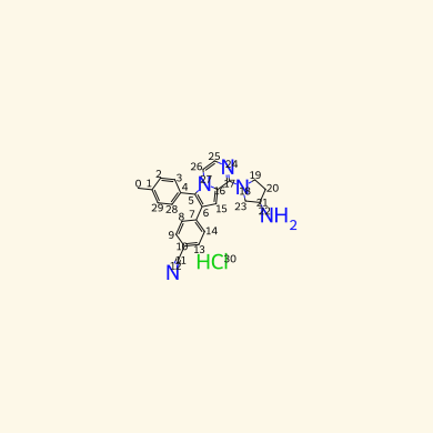 Cc1ccc(-c2c(-c3ccc(C#N)cc3)cc3c(N4CCC(N)C4)nccn23)cc1.Cl